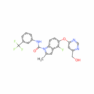 Cc1cc2c(F)c(Oc3cc(CO)ncn3)ccc2n1C(=O)Nc1cccc(C(F)(F)F)c1